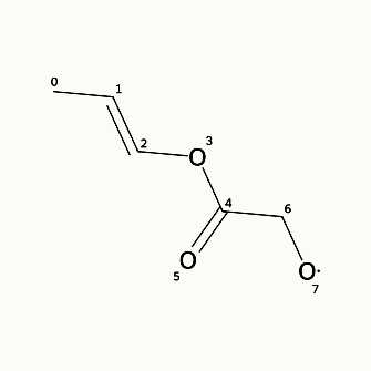 CC=COC(=O)C[O]